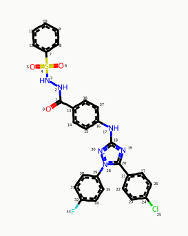 O=C(NNS(=O)(=O)c1ccccc1)c1ccc(Nc2nc(-c3ccc(Cl)cc3)n(-c3ccc(F)cc3)n2)cc1